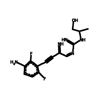 CC(CO)NC(=N)/N=C\C(=N)C#Cc1c(F)ccc(N)c1F